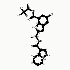 CC(OC(=O)c1cc(Cl)cc2cc([C@H](C)NC(=O)c3cnn4cccnc34)oc12)C(F)(F)F